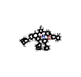 Cc1cc2c3c(c1)C1Cc4ccc(C56CC7CC8CC(C5)C87C6)cc4-c4cc(C56CC7CC8CC(C5)C87C6)cc(c41)B3N(c1ccc(-c3ccccc3)cc1)c1c-2ccc2c1oc1cc3ccccc3cc12